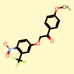 COc1ccc(C(=O)COc2ccc([N+](=O)[O-])c(C(F)(F)F)c2)cc1